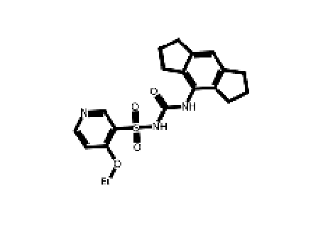 CCOc1ccncc1S(=O)(=O)NC(=O)Nc1c2c(cc3c1CCC3)CCC2